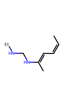 C/C=C\C=C(/C)NCNCC